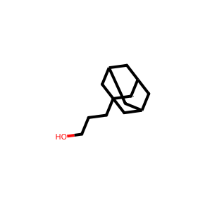 OCCCC12[CH]C3CC(CC(C3)C1)C2